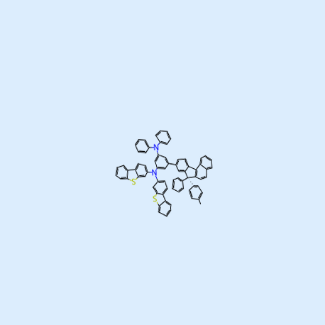 Cc1ccc([C@]2(c3ccccc3)c3cc(-c4cc(N(c5ccccc5)c5ccccc5)cc(N(c5ccc6c(c5)sc5ccccc56)c5ccc6c(c5)sc5ccccc56)c4)ccc3-c3c2ccc2ccccc32)cc1